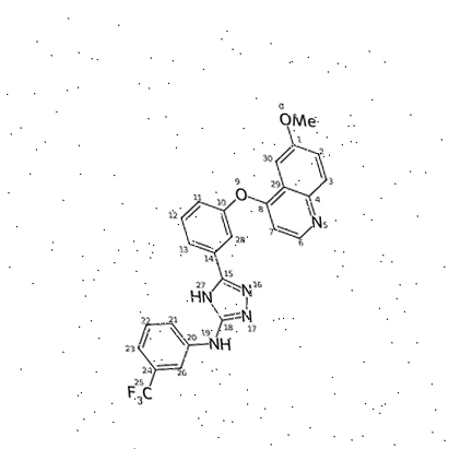 COc1ccc2nccc(Oc3cccc(-c4nnc(Nc5cccc(C(F)(F)F)c5)[nH]4)c3)c2c1